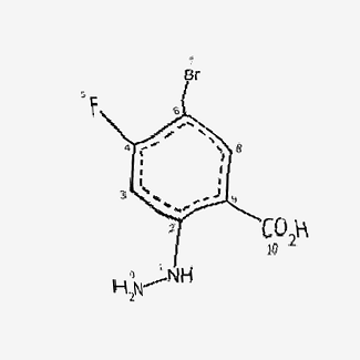 NNc1cc(F)c(Br)cc1C(=O)O